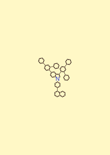 c1ccc(-c2ccc(-c3ccc4c(c3)c(-c3ccc(-c5ccccc5)cc3-c3ccccc3)cn4-c3ccc(-c4cccc5ccccc45)cc3)c(-c3ccccc3)c2)cc1